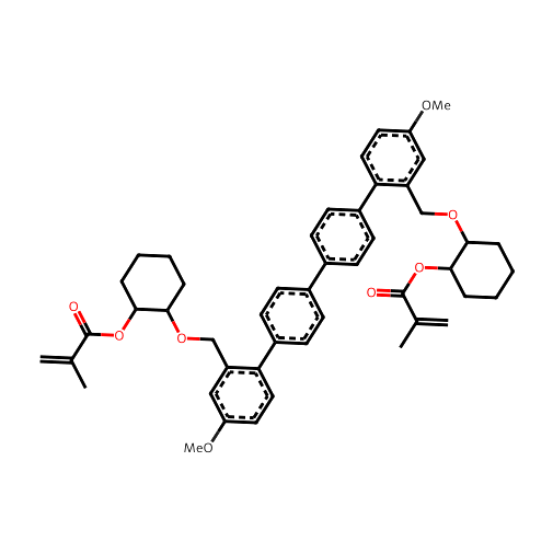 C=C(C)C(=O)OC1CCCCC1OCc1cc(OC)ccc1-c1ccc(-c2ccc(-c3ccc(OC)cc3COC3CCCCC3OC(=O)C(=C)C)cc2)cc1